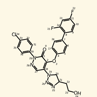 O=c1c(Oc2ccc(-c3ccc(F)cc3F)cc2)c(N2CC(CCO)N=N2)cnn1-c1ccc(Cl)cc1